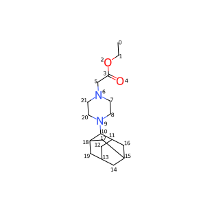 CCOC(=O)CN1CCN(C2C3CC4CC(C3)CC2C4)CC1